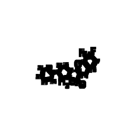 CC(=O)C(Cc1ccc(F)c(F)c1)C(=O)[C@H]1CC[C@H](c2ccccc2)CC1